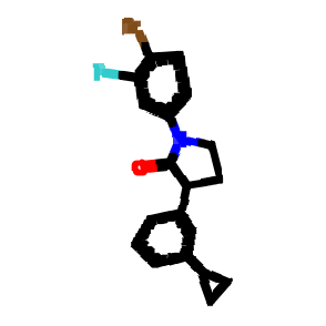 O=C1C(c2cccc(C3CC3)c2)CCN1c1ccc(Br)c(F)c1